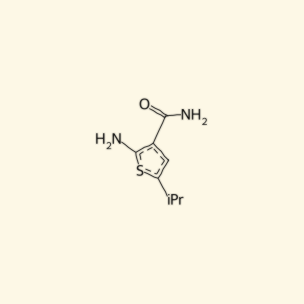 CC(C)c1cc(C(N)=O)c(N)s1